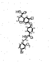 COc1cc(Br)ccc1CCNC(=O)c1ccc(Oc2cc3c(cc2Cl)C(C(=O)O)CCO3)cc1